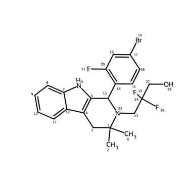 CC1(C)Cc2c([nH]c3ccccc23)C(c2ccc(Br)cc2F)N1CC(F)(F)CO